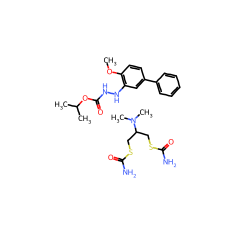 CN(C)C(CSC(N)=O)CSC(N)=O.COc1ccc(-c2ccccc2)cc1NNC(=O)OC(C)C